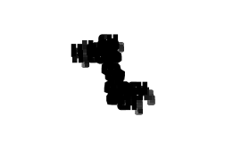 CC(C)c1cccc2c1oc1c(N(c3ccc(C(C)(C)C)cc3)c3ccc4ccc5c(N(c6ccc(C(C)(C)C)cc6)c6cccc7c6oc6c(C(C)C)cccc67)ccc6ccc3c4c65)cccc12